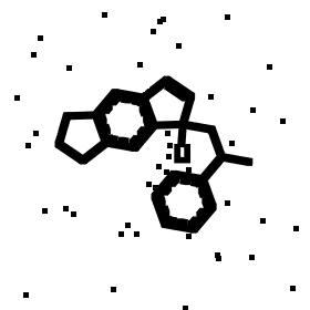 [Li][C]1(CC(C)c2ccccc2)C=Cc2cc3c(cc21)CCC3